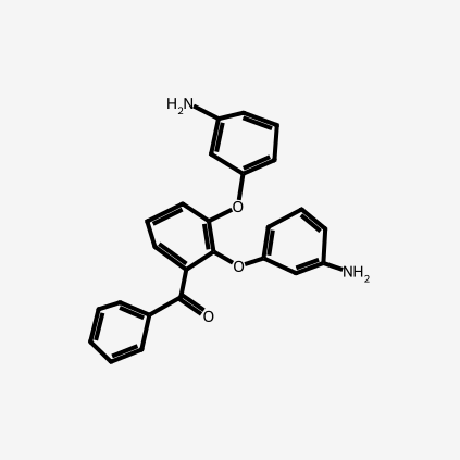 Nc1cccc(Oc2cccc(C(=O)c3ccccc3)c2Oc2cccc(N)c2)c1